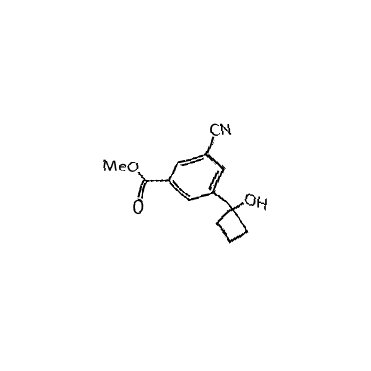 COC(=O)c1cc(C#N)cc(C2(O)CCC2)c1